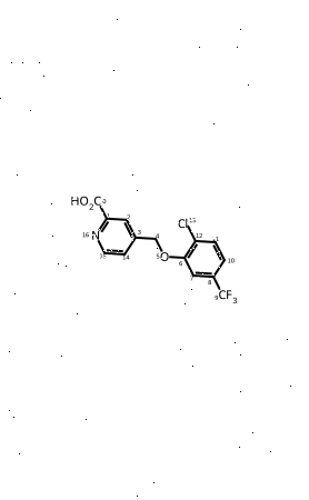 O=C(O)c1cc(COc2cc(C(F)(F)F)ccc2Cl)ccn1